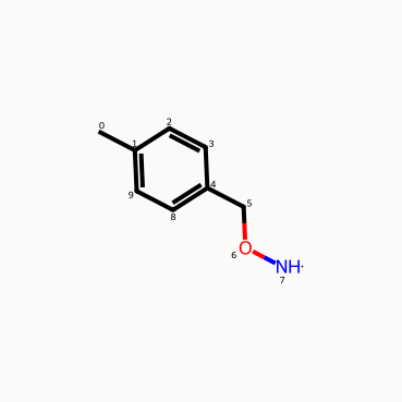 Cc1ccc(CO[NH])cc1